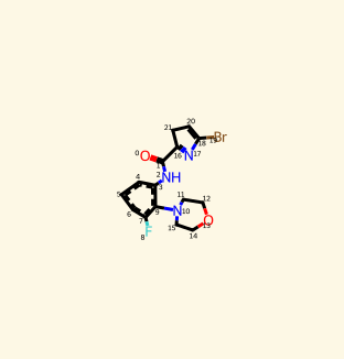 O=C(Nc1cccc(F)c1N1CCOCC1)C1=NC(Br)=CC1